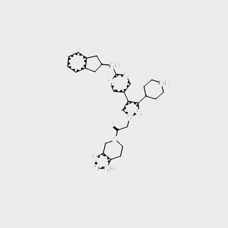 O=C(Cn1cc(-c2cnc(NC3Cc4ccccc4C3)nc2)c(C2CCNCC2)n1)N1CCc2[nH]nnc2C1